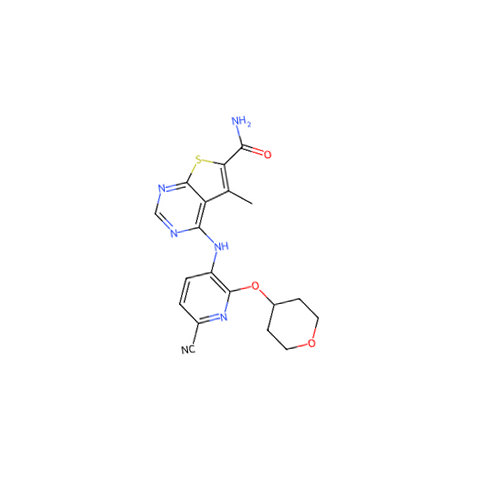 Cc1c(C(N)=O)sc2ncnc(Nc3ccc(C#N)nc3OC3CCOCC3)c12